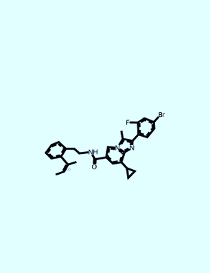 C/C=C(/C)c1ccccc1CCNC(=O)c1cc(C2CC2)c2nc(-c3ccc(Br)cc3F)c(C)n2c1